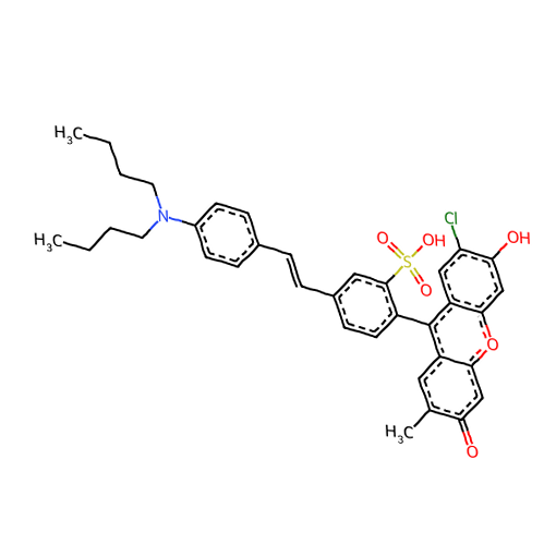 CCCCN(CCCC)c1ccc(/C=C/c2ccc(-c3c4cc(C)c(=O)cc-4oc4cc(O)c(Cl)cc34)c(S(=O)(=O)O)c2)cc1